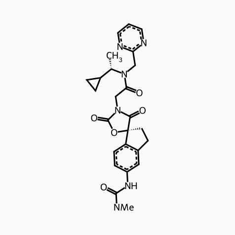 CNC(=O)Nc1ccc2c(c1)CC[C@@]21OC(=O)N(CC(=O)N(Cc2ncccn2)[C@@H](C)C2CC2)C1=O